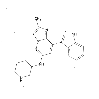 Cc1cn2nc(NC3CCCNC3)cc(-c3c[nH]c4ccccc34)c2n1